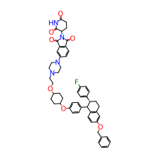 O=C1CCC(N2C(=O)c3ccc(N4CCN(CCOC5CCC(Oc6ccc(C7c8ccc(OCc9ccccc9)cc8CC[C@@H]7c7ccc(F)cc7)cc6)CC5)CC4)cc3C2=O)C(=O)N1